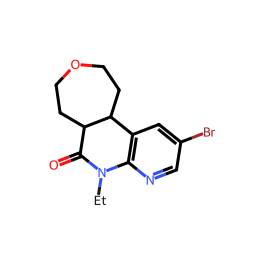 CCN1C(=O)C2CCOCCC2c2cc(Br)cnc21